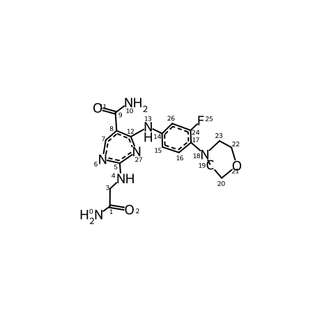 NC(=O)CNc1ncc(C(N)=O)c(Nc2ccc(N3CCOCC3)c(F)c2)n1